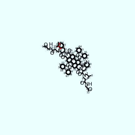 CC(C)CN(CCC(=O)NCC1CO1)C(=O)C(Cc1ccncc1)N1C(=O)c2cc(Oc3ccccc3)c3c4c(Oc5ccccc5)cc5c6c(cc(Oc7ccccc7)c(c7c(Oc8ccccc8)cc(c2c37)C1=O)c64)C(=O)N(C(Cc1ccncc1)C(=O)N(CCC(=O)NCC1CO1)CC(C)C)C5=O